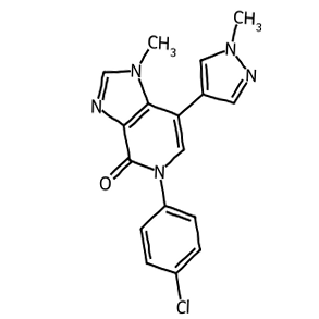 Cn1cc(-c2cn(-c3ccc(Cl)cc3)c(=O)c3ncn(C)c23)cn1